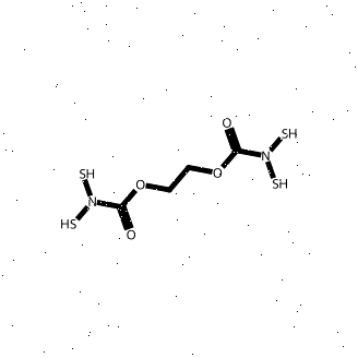 O=C(OCCOC(=O)N(S)S)N(S)S